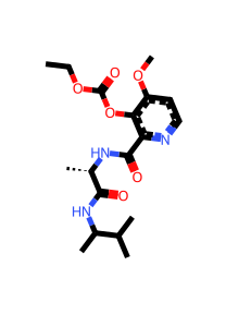 CCOC(=O)Oc1c(OC)ccnc1C(=O)N[C@@H](C)C(=O)NC(C)C(C)C